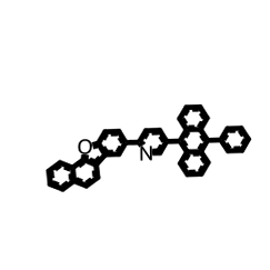 c1ccc(-c2c3ccccc3c(-c3ccc(-c4ccc5oc6c7ccccc7ccc6c5c4)nc3)c3ccccc23)cc1